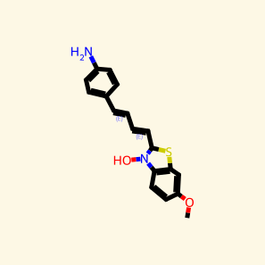 COc1ccc2c(c1)SC(/C=C/C=C/c1ccc(N)cc1)N2O